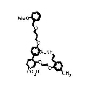 COc1ccccc1COCCCOc1ccc(C2CCN(C(=O)O)CC2OCCOc2cc(C)ccc2CCNC(C)=O)cc1